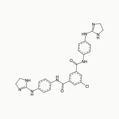 O=C(Nc1ccc(NC2=NCCN2)cc1)c1cc(Cl)cc(C(=O)Nc2ccc(NC3=NCCN3)cc2)c1